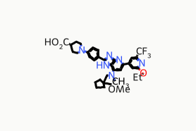 CCOc1cc(-c2cc(N(C)CC3(COC)CCCC3)c3[nH]c(-c4ccc(N5CCC(C(=O)O)CC5)cc4)nc3n2)cc(C(F)(F)F)n1